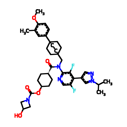 COc1ccc(C23CCC(CN(c4ncc(F)c(-c5cnn(C(C)C)c5)c4F)C(=O)[C@H]4CC[C@H](OC(=O)N5CC(O)C5)CC4)(CC2)CC3)cc1C